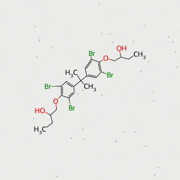 CCC(O)COc1c(Br)cc(C(C)(C)c2cc(Br)c(OCC(O)CC)c(Br)c2)cc1Br